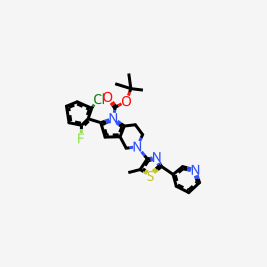 Cc1sc(-c2cccnc2)nc1N1CCc2c(cc(-c3c(F)cccc3Cl)n2C(=O)OC(C)(C)C)C1